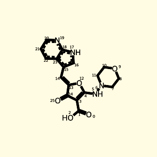 O=C(O)C1=C(NN2CCOCC2)OC(=Cc2c[nH]c3ncccc23)C1=O